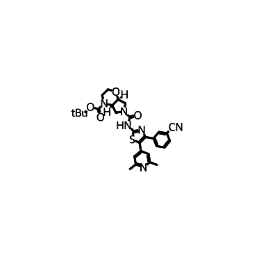 Cc1cc(-c2sc(NC(=O)N3C[C@@H]4OCCN(C(=O)OC(C)(C)C)[C@H]4C3)nc2-c2cccc(C#N)c2)cc(C)n1